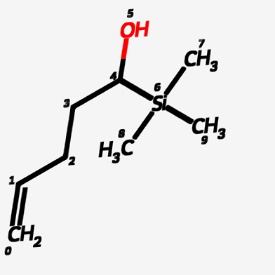 C=CCCC(O)[Si](C)(C)C